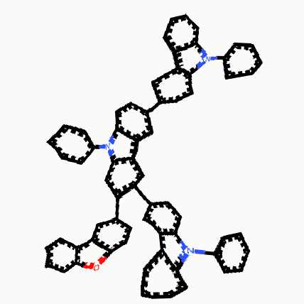 c1ccc(-n2c3ccccc3c3cc(-c4ccc5c(c4)c4cc(-c6ccc7c(c6)c6ccccc6n7-c6ccccc6)c(-c6ccc7oc8ccccc8c7c6)cc4n5-c4ccccc4)ccc32)cc1